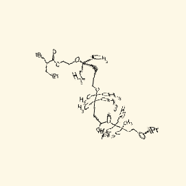 CC(C)CC(C(=O)OCCOC(C)(C)CCOC(C)(C)C(C)(C)CC(C)OC(C)(C)C(C)(C)CCOC(C)C)C(C)(C)C